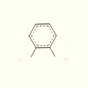 O=S(=O)(O)c1ccccc1S(=O)(=O)O.[Fe]